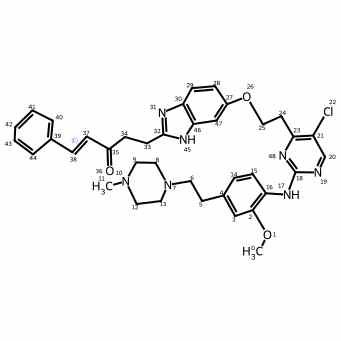 COc1cc(CCN2CCN(C)CC2)ccc1Nc1ncc(Cl)c(CCOc2ccc3nc(CCC(=O)/C=C/c4ccccc4)[nH]c3c2)n1